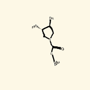 CCC[C@H]1CN(C(=O)OC(C)(C)C)C[C@@H]1O